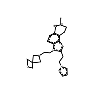 C[C@H]1CCc2c(ccc3c2nc(CCn2cccn2)n3CCN2CC3(COC3)C2)N1